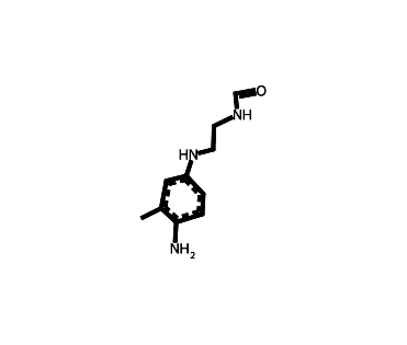 Cc1cc(NCCNC=O)ccc1N